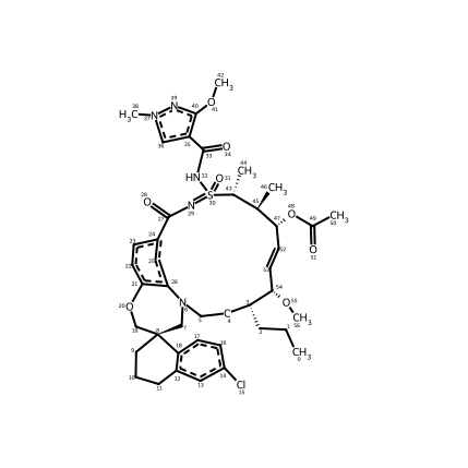 CCC[C@@H]1CCN2C[C@@]3(CCCc4cc(Cl)ccc43)COc3ccc(cc32)C(=O)N=S(=O)(NC(=O)c2cn(C)nc2OC)[C@H](C)[C@@H](C)[C@H](OC(C)=O)/C=C/[C@@H]1OC